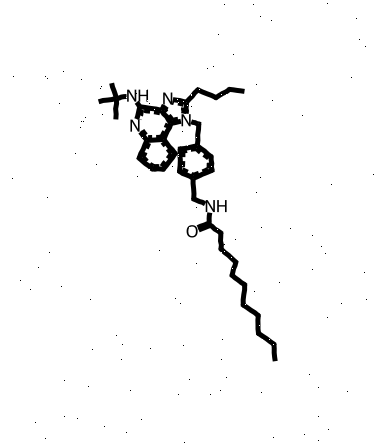 CCCCCCCCCCC(=O)NCc1ccc(Cn2c(CCCC)nc3c(NC(C)(C)C)nc4ccccc4c32)cc1